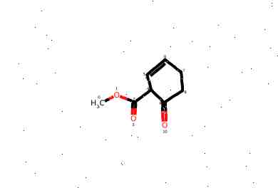 COC(=O)C1C=CCCC1=O